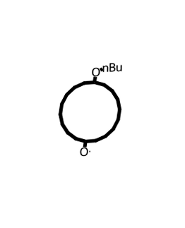 [CH2]CCCOC1CCCCCCCCC([O])CCCCCCCC1